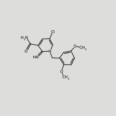 COc1ccc(OC)c(Cn2cc(Cl)cc(C(N)=O)c2=N)c1